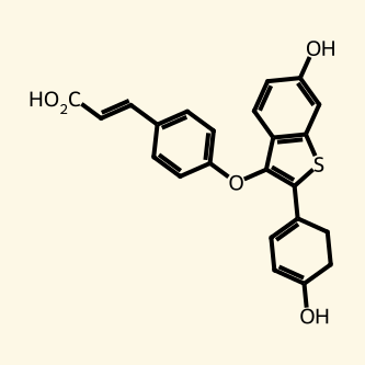 O=C(O)/C=C/c1ccc(Oc2c(C3=CC=C(O)CC3)sc3cc(O)ccc23)cc1